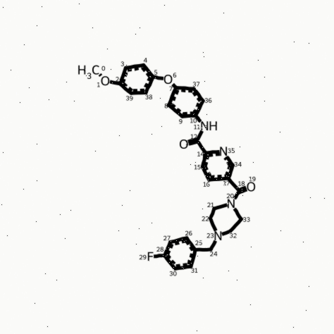 COc1ccc(Oc2ccc(NC(=O)c3ccc(C(=O)N4CCN(Cc5ccc(F)cc5)CC4)cn3)cc2)cc1